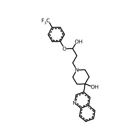 OC(CCN1CCC(O)(c2cnc3ccccc3c2)CC1)Oc1ccc(C(F)(F)F)cc1